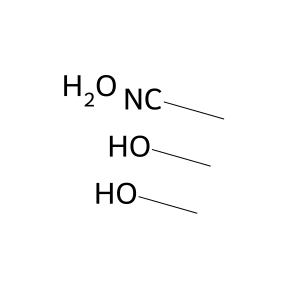 CC#N.CO.CO.O